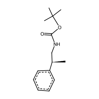 C[C@H](CNC(=O)OC(C)(C)C)c1ccccc1